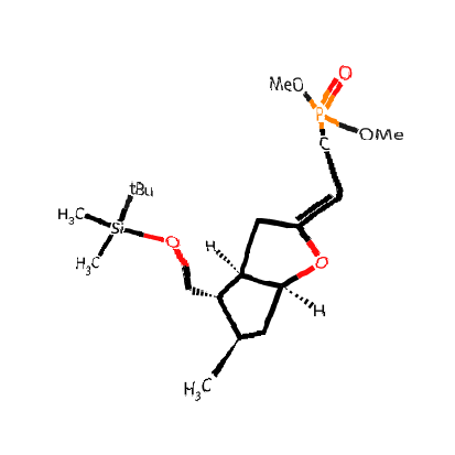 COP(=O)(C/C=C1\C[C@@H]2[C@@H](CO[Si](C)(C)C(C)(C)C)[C@H](C)C[C@@H]2O1)OC